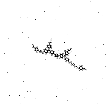 C=Cc1ccc(CCCOCCCc2ccc(N(c3ccc(CCC)cc3)c3ccc(-c4ccc(-c5ccc(N(c6ccc(CCC)cc6)c6ccc(COCc7ccc(C=C)cc7)cc6)cc5)s4)cc3)cc2)cc1